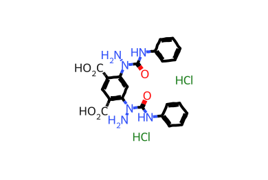 Cl.Cl.NN(C(=O)Nc1ccccc1)c1cc(N(N)C(=O)Nc2ccccc2)c(C(=O)O)cc1C(=O)O